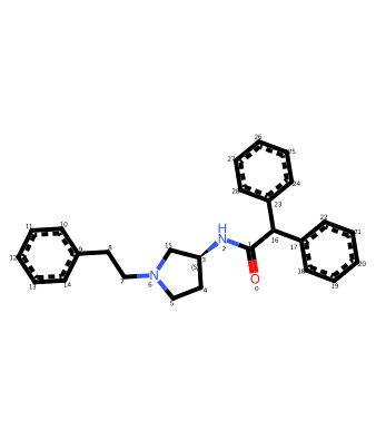 O=C(N[C@H]1CCN(CCc2ccccc2)C1)C(c1ccccc1)c1ccccc1